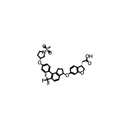 CS(=O)(=O)N1CC[C@@H](Oc2ccc(-c3c(C(F)(F)F)ccc4c3CC[C@H]4Oc3ccc4c(c3)OC[C@H]4CC(=O)O)cc2)C1